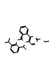 CCOc1ncc(NC(=O)Nc2c(C(C)C)cccc2C(C)C)c(-c2ccccc2Cl)n1